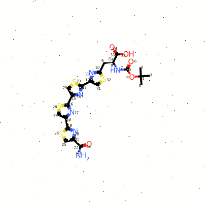 CC(C)(C)OC(=O)N[C@@H](Cc1nc(-c2nc(-c3nc(-c4nc(C(N)=O)cs4)cs3)cs2)cs1)C(=O)O